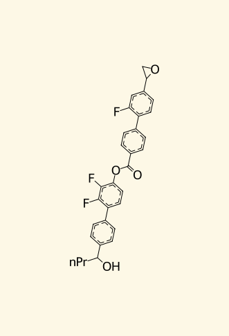 CCCC(O)c1ccc(-c2ccc(OC(=O)c3ccc(-c4ccc(C5CO5)cc4F)cc3)c(F)c2F)cc1